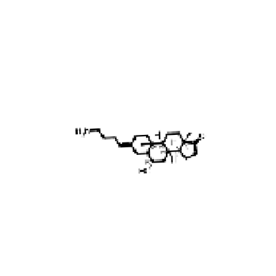 C[C@]12CCC(=CCCCN)CC1[C@@H](O)C[C@@H]1[C@@H]2CC[C@]2(C)C(=O)CC[C@@H]12